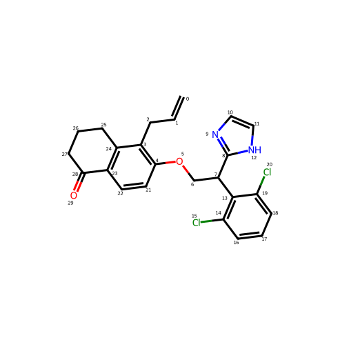 C=CCc1c(OCC(c2ncc[nH]2)c2c(Cl)cccc2Cl)ccc2c1CCCC2=O